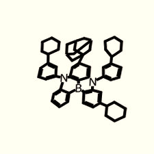 c1cc(C2CCCCC2)cc(N2c3ccccc3B3c4ccc(C5CCCCC5)cc4N(c4cccc(C5CCCCC5)c4)c4cc(C56CC7CC(CC(C7)C5)C6)cc2c43)c1